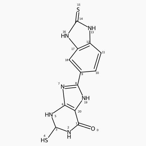 O=C1NC(S)Nc2nc(-c3ccc4[nH]c(=S)[nH]c4c3)[nH]c21